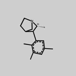 Cc1cc(C)c(C)c(C2C3CCN(C3)[C@@H]2C)c1